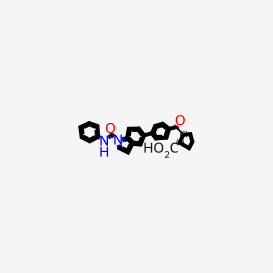 O=C(O)[C@H]1CCC[C@@H]1C(=O)c1ccc(-c2ccc3c(ccn3C(=O)Nc3ccccc3)c2)cc1